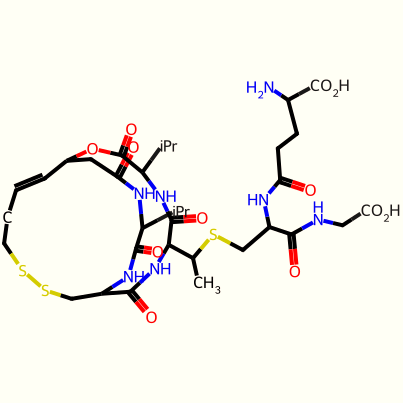 CC(C)C1NC(=O)CC2/C=C/CCSSCC(NC1=O)C(=O)NC(C(C)SCC(NC(=O)CCC(N)C(=O)O)C(=O)NCC(=O)O)C(=O)NC(C(C)C)C(=O)O2